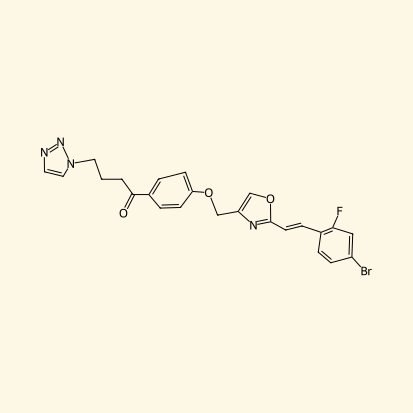 O=C(CCCn1ccnn1)c1ccc(OCc2coc(/C=C/c3ccc(Br)cc3F)n2)cc1